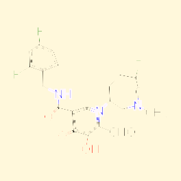 CN1CC(F)CCC(n2cc(C(=O)NCc3ccc(F)cc3F)c(=O)c(O)c2C=O)C1